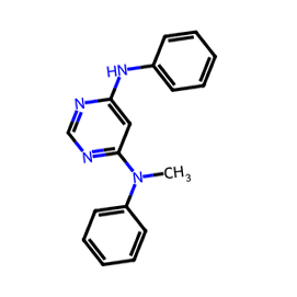 CN(c1ccccc1)c1cc(Nc2ccccc2)ncn1